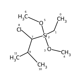 CC[Si](OC)(OC)C(Cl)C(C)C